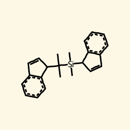 CC(C)(C1C=Cc2ccccc21)[Si](C)(C)C1C=Cc2ccccc21